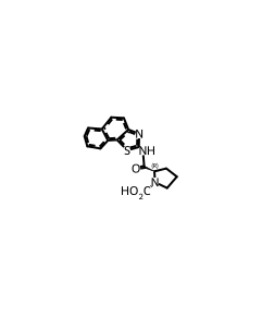 O=C(Nc1nc2ccc3ccccc3c2s1)[C@H]1CCCN1C(=O)O